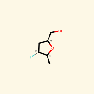 C[C@@H]1O[C@H](CO)C[C@H]1F